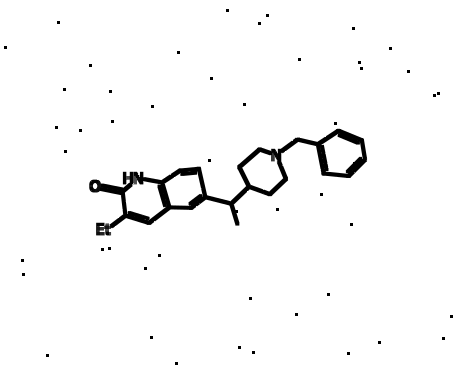 CCc1cc2cc(C(C)C3CCN(Cc4ccccc4)CC3)ccc2[nH]c1=O